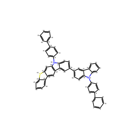 c1ccc(-c2ccc(-n3c4ccccc4c4cc(-c5ccc6c(c5)c5cc7c(cc5n6-c5ccc(-c6ccccc6)cc5)sc5ccccc57)ccc43)cc2)cc1